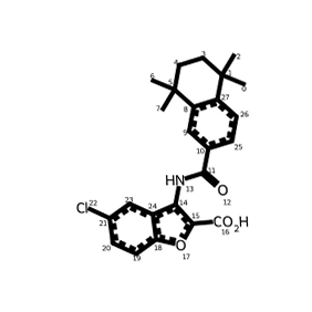 CC1(C)CCC(C)(C)c2cc(C(=O)Nc3c(C(=O)O)oc4ccc(Cl)cc34)ccc21